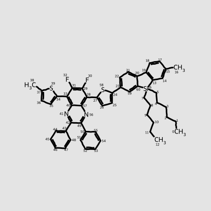 CCCCCC[Si]1(CCCCCC)c2cc(C)ccc2-c2ccc(-c3ccc(-c4c(F)c(F)c(-c5ccc(C)s5)c5nc(-c6ccccc6)c(-c6ccccc6)nc45)s3)cc21